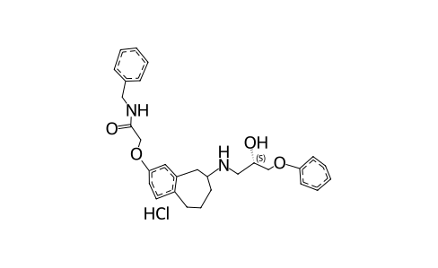 Cl.O=C(COc1ccc2c(c1)CC(NC[C@H](O)COc1ccccc1)CCC2)NCc1ccccc1